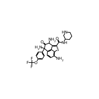 Nc1ccc2c3c(c(C(=O)NC4CCCNC4)sc13)C(N)C(=O)C2(N)c1ccc(OC(F)(F)F)cc1